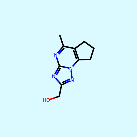 Cc1nc2nc(CO)nn2c2c1CCC2